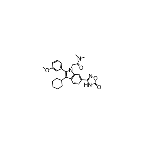 COc1cccc(-c2c(C3CCCCC3)c3ccc(-c4noc(=O)[nH]4)cc3n2CC(=O)N(C)C)c1